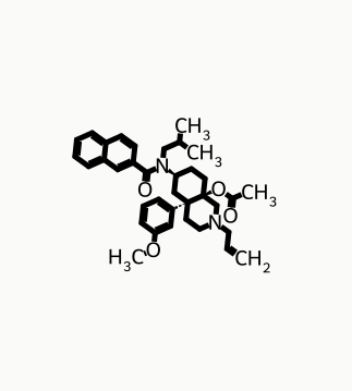 C=CCN1CC[C@@]2(c3cccc(OC)c3)C[C@@H](N(CC(C)C)C(=O)c3ccc4ccccc4c3)CC[C@]2(OC(C)=O)C1